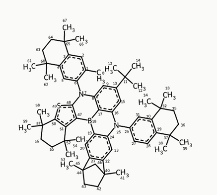 Cc1cc2c(cc1N1c3cc(C(C)(C)C)cc4c3B(c3cc5c(cc3N4c3ccc4c(c3)C(C)(C)CCC4(C)C)C3(C)CCC5(C)C3)c3c1sc1c3C(C)(C)CCC1(C)C)C(C)(C)CCC2(C)C